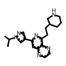 CC(C)n1cc(-c2cc3nccnc3c(CCC3CCCNC3)n2)cn1